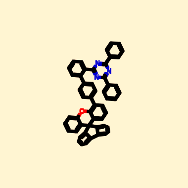 c1ccc(-c2nc(-c3ccccc3)nc(-c3ccccc3-c3ccc(-c4cccc5c4Oc4ccccc4C54c5ccccc5-c5ccccc54)cc3)n2)cc1